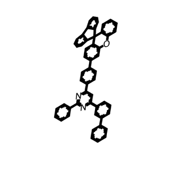 c1ccc(-c2cccc(-c3cc(-c4ccc(-c5ccc6c(c5)Oc5ccccc5C65c6ccccc6-c6ccccc65)cc4)nc(-c4ccccc4)n3)c2)cc1